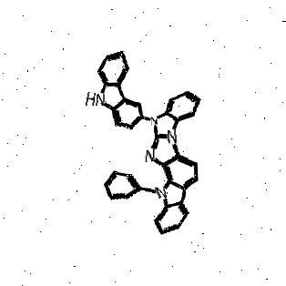 c1ccc(-n2c3ccccc3c3ccc4c(nc5n(-c6ccc7[nH]c8ccccc8c7c6)c6ccccc6n45)c32)cc1